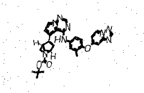 Cc1cc(Nc2ncnn3ccc([C@H]4C[C@@H]5C[C@H]4CN5C(=O)OC(C)(C)C)c23)ccc1Oc1ccn2ncnc2c1